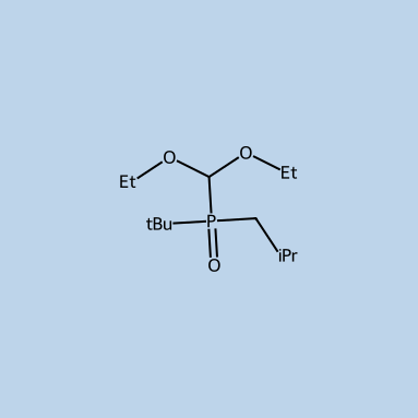 CCOC(OCC)P(=O)(CC(C)C)C(C)(C)C